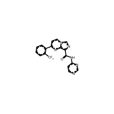 O=C(Nc1ccncn1)c1ncn2ccc(-c3ccccc3C(F)(F)F)nc12